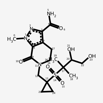 Cn1nc(C(N)=O)c2c1C(=O)N(CC1(S(=O)(=O)C(C)(C)C(O)CO)CC1)CC2